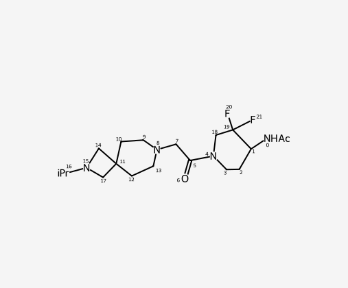 CC(=O)NC1CCN(C(=O)CN2CCC3(CC2)CN(C(C)C)C3)CC1(F)F